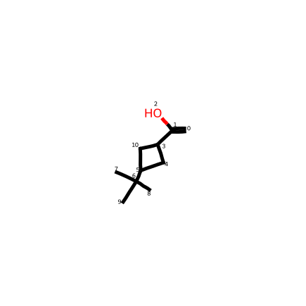 C=C(O)C1CC(C(C)(C)C)C1